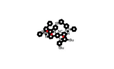 [C-]#[N+]c1c(-c2ccc3nc4n(-c5ccccc5)c5ccc(-c6ccccc6)cc5n4c3c2)c(-n2c3ccc(C(C)(C)C)cc3c3cc(C(C)(C)C)ccc32)cc(-c2ccc3nc4n(-c5ccccc5)c5ccc(-c6ccccc6)cc5n4c3c2)c1-n1c2ccc(C(C)(C)C)cc2c2cc(C(C)(C)C)ccc21